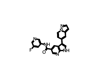 O=C(Nc1cncc(F)c1)c1cnc2[nH]cc(-c3ccn4nccc4c3)c2c1